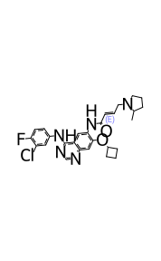 CC1CCCN1C/C=C/C(=O)Nc1cc2c(Nc3ccc(F)c(Cl)c3)ncnc2cc1OC1CCC1